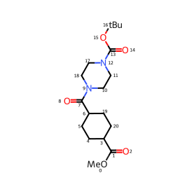 COC(=O)C1CCC(C(=O)N2CCN(C(=O)OC(C)(C)C)CC2)CC1